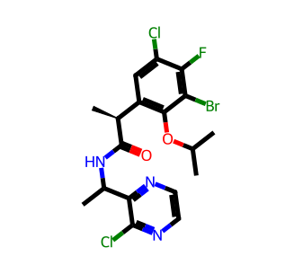 CC(C)Oc1c([C@H](C)C(=O)NC(C)c2nccnc2Cl)cc(Cl)c(F)c1Br